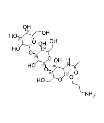 CC(=O)NC1[C@H](OCCCN)OC(CO)[C@@H](O[C@@H]2OC(CO)[C@H](O)[C@H](OC3OC(CO)[C@H](O)[C@H](O)C3O)C2O)[C@@H]1O